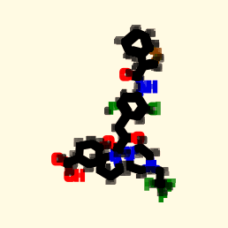 O=C(Nc1cc(F)c(CC(=O)C(OC2CCC(C(=O)O)CC2)(N2CCCC2)N2CCN(CC(F)(F)F)CC2)cc1Cl)c1csc2ccccc12